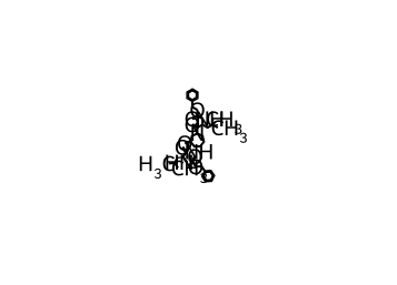 CC(C)CC(NC(=O)OCc1ccccc1)C(=O)N1CCC[C@H](NC(=O)[C@H](CC(C)C)NC(=O)OCc2ccccc2)C(=O)C1